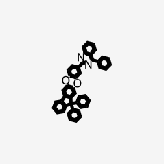 c1ccc(-c2nc(-c3ccc4c(c3)Oc3cc5c(cc3O4)-c3ccccc3C5(c3ccccc3)c3ccccc3)nc3ccccc23)cc1